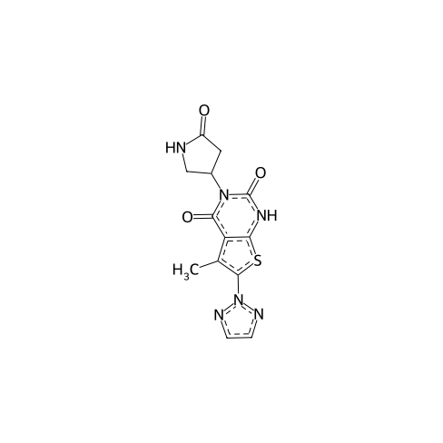 Cc1c(-n2nccn2)sc2[nH]c(=O)n(C3CNC(=O)C3)c(=O)c12